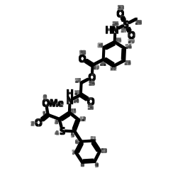 COC(=O)c1sc(-c2ccccc2)cc1NC(=O)COC(=O)c1cccc(NS(C)(=O)=O)c1